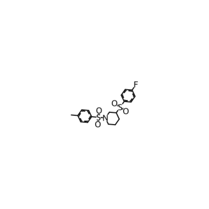 Cc1ccc(S(=O)(=O)N2CCCC(S(=O)(=O)c3ccc(F)cc3)C2)cc1